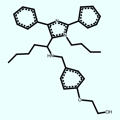 CCCCC(NCc1ccc(OCCO)cc1)c1c(-c2ccccc2)nc(-c2ccccc2)n1CCCC